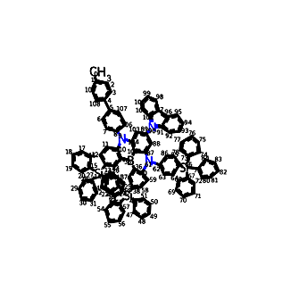 Cc1ccc(-c2ccc(N3c4ccc([Si](c5ccccc5)(c5ccccc5)c5ccccc5)cc4B4c5cc([Si](c6ccccc6)(c6ccccc6)c6ccccc6)ccc5N(c5ccc([Si](c6ccccc6)(c6ccccc6)c6ccccc6)cc5)c5cc(-n6c7ccccc7c7ccccc76)cc3c54)cc2)cc1